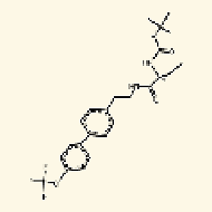 CC[C@H](NC(=O)OC(C)(C)C)C(=O)NCCc1ccc(-c2ccc(OC(F)(F)F)cc2)cc1